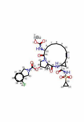 CCCCOC(=O)N[C@H]1CCCCC/C=C\C2C[C@@]2(C(=O)NS(=O)(=O)C2CC2)NC(=O)[C@@H]2C[C@@H](OC(=O)N3Cc4cccc(F)c4C3)CN2C1=O